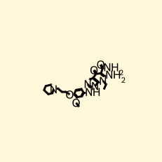 CCn1c(N)c(C(N)=O)c(=O)c2cnc(Nc3ccc(OCCCN4CCCCC4)c(OC)c3)nc21